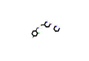 O=C(NCc1ccc(Cl)cc1Cl)c1ccc(Oc2ccccn2)nc1